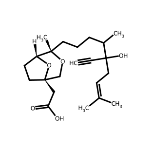 C#CC(O)(CC=C(C)C)C(C)CCC[C@]1(C)OC[C@]2(CC(=O)O)CC[C@H]1O2